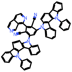 N#Cc1c(-n2c3ccccc3c3c2ccc2c4ccccc4n(-c4ccccc4)c23)cc(-n2c3ccccc3c3c2ccc2c4ccccc4n(-c4ccccc4)c23)c(C#N)c1-c1nccc2ccncc12